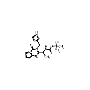 CC(NC(=O)OC(C)(C)C)c1nc2cccn2c(=O)n1Cc1cc[nH]n1